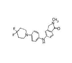 CN1Cc2cc(Nc3ccc(N4CCC(F)(F)CC4)cc3)ccc2C1=O